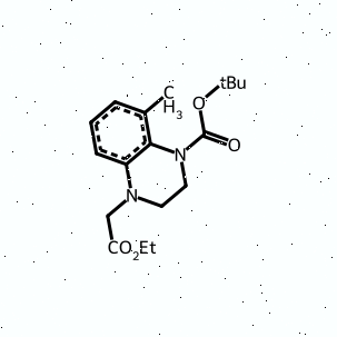 CCOC(=O)CN1CCN(C(=O)OC(C)(C)C)c2c(C)cccc21